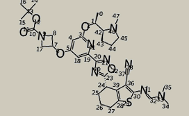 C[C@H](Oc1cc(OC2CN(C(=O)OC(C)(C)C)C2)cc(-c2noc([C@H]3CCCc4sc(/N=C/N(C)C)c(C#N)c43)n2)n1)[C@@H]1CCCN1C